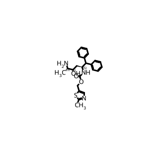 Cc1ncc(COC(=O)N[C@@H](C[C@H](O)[C@H](C)N)C(c2ccccc2)c2ccccc2)s1